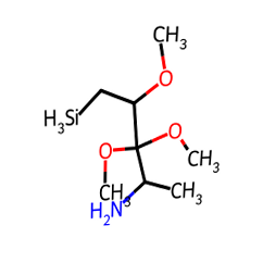 COC(C[SiH3])C(OC)(OC)C(C)N